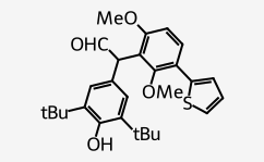 COc1ccc(-c2cccs2)c(OC)c1C(C=O)c1cc(C(C)(C)C)c(O)c(C(C)(C)C)c1